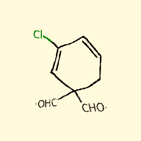 O=[C]C1([C]=O)C=C(Cl)C=CC1